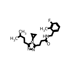 Cc1c(F)cccc1CNC(=O)CCc1nnc(CCC(C)C)n1C1CC1